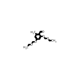 CCOCOc1cc(C)c(C=O)c(OCOCC)c1